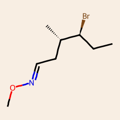 CC[C@H](Br)[C@@H](C)CC=NOC